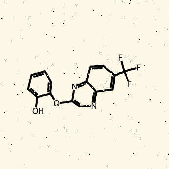 Oc1ccccc1Oc1cnc2cc(C(F)(F)F)ccc2n1